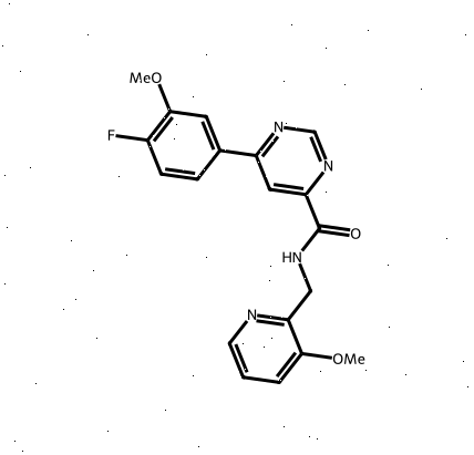 COc1cc(-c2cc(C(=O)NCc3ncccc3OC)ncn2)ccc1F